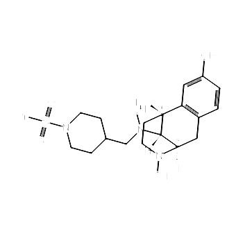 CC(C)S(=O)(=O)N1CCC(CN(C)[C@H]2[C@H]3Cc4ccc(O)cc4[C@@]2(C)CCN3C)CC1